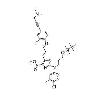 Cc1cc(N(CCCO[Si](C)(C)C(C)(C)C)c2nc(C(=O)O)c(CCCOc3ccc(C#CCN(C)C)cc3F)s2)nnc1Cl